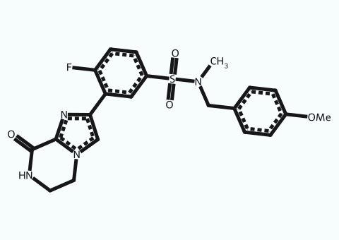 COc1ccc(CN(C)S(=O)(=O)c2ccc(F)c(-c3cn4c(n3)C(=O)NCC4)c2)cc1